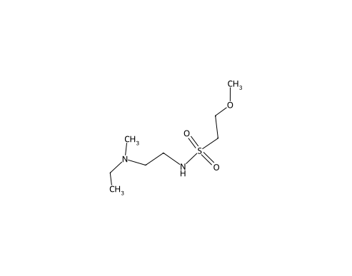 CCN(C)CCNS(=O)(=O)CCOC